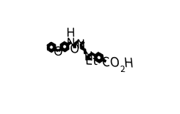 CCN(CCCN(C)CC(=O)Nc1ccc(Oc2ccccc2)cc1)Cc1ccc(C(=O)O)cc1